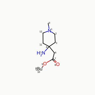 CN1CCC(N)(CC(=O)OC(C)(C)C)CC1